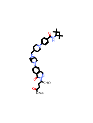 CNC(=O)CCC(C=O)n1ncc2cc(N3CC4CC3CN4CC3CCN(c4ccc(C(=O)NC5C(C)(C)CC5(C)C)cc4)CC3)ccc2c1=O